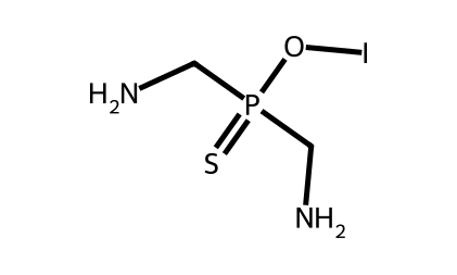 NCP(=S)(CN)OI